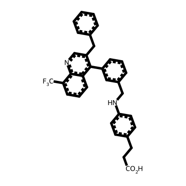 O=C(O)CCc1ccc(NCc2cccc(-c3c(Cc4ccccc4)cnc4c(C(F)(F)F)cccc34)c2)cc1